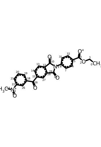 CCOC(=O)c1ccc(N2C(=O)c3ccc(C(=O)c4cccc([N+](C)=O)c4)cc3C2=O)cc1